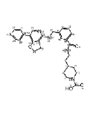 O=C(NCCC1CCN(C(=O)O)CC1)c1cccc(CNc2ncc(-c3ccncc3)c3c2CCO3)c1